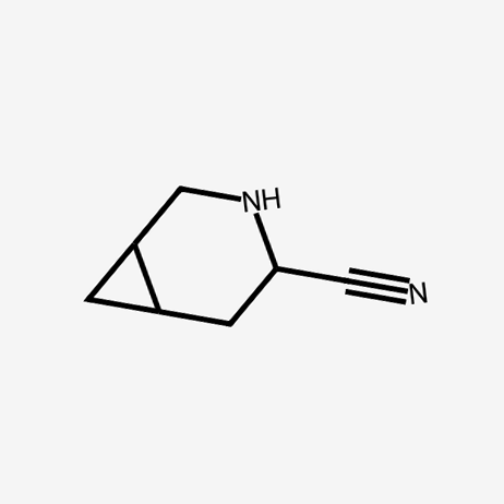 N#CC1CC2CC2CN1